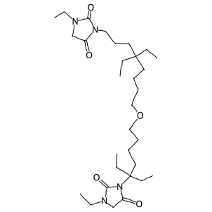 CCN1CC(=O)N(CCCC(CC)(CC)CCCCOCCCCC(CC)(CC)N2C(=O)CN(CC)C2=O)C1=O